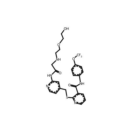 O=C(CNCCOCCO)Nc1cc(CSc2ncccc2C(=O)Nc2ccc(OC(F)(F)F)cc2)ccn1